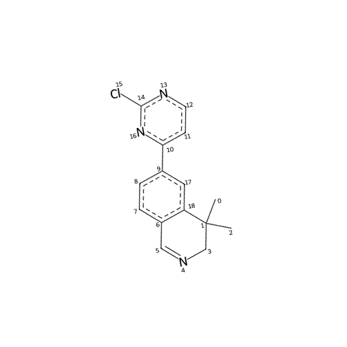 CC1(C)CN=Cc2ccc(-c3ccnc(Cl)n3)cc21